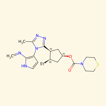 C=Nc1[nH]ccc1-n1c(C)nnc1[C@H]1C[C@@H](OC(=O)N2CCSCC2)C[C@H]1CC